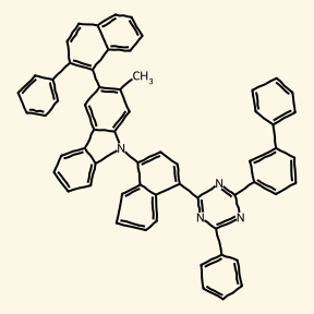 Cc1cc2c(cc1-c1c(-c3ccccc3)ccc3ccccc13)c1ccccc1n2-c1ccc(-c2nc(-c3ccccc3)nc(-c3cccc(-c4ccccc4)c3)n2)c2ccccc12